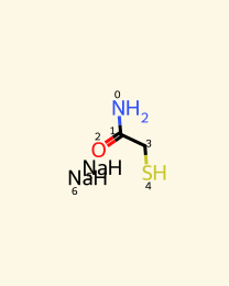 NC(=O)CS.[NaH].[NaH]